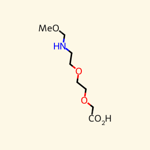 COCNCCOCCOCC(=O)O